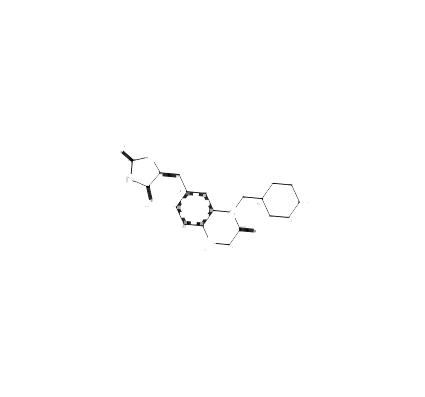 O=C1NC(=S)O/C1=C/c1ccc2c(c1)N(CC1CCCCC1)C(=O)CO2